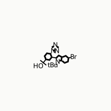 CC(C)(O)c1ccc(-n2cncn2)c(-c2cc3cc(Br)ccc3n2C(C)(C)C)c1